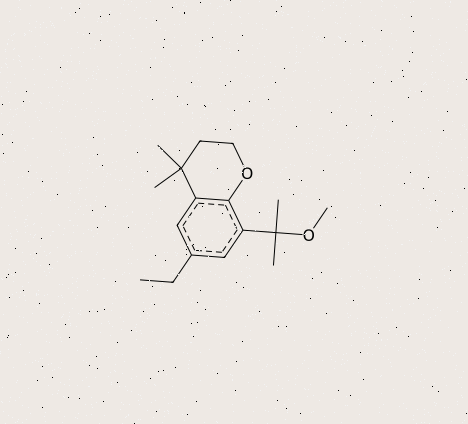 CCc1cc2c(c(C(C)(C)OC)c1)OCCC2(C)C